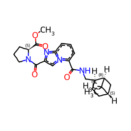 COC(=O)[C@@H]1CCCN1C(=O)c1cn2c(C(=O)NC[C@@H]3CC[C@H]4C[C@H]3C4(C)C)cccc2n1